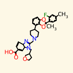 Cc1ccc(C2(C)Oc3cccc(C4CCN(CC5=NC6C=CC(C(=O)O)=CC6N5CC5CCOC5)CC4)c3O2)c(F)c1